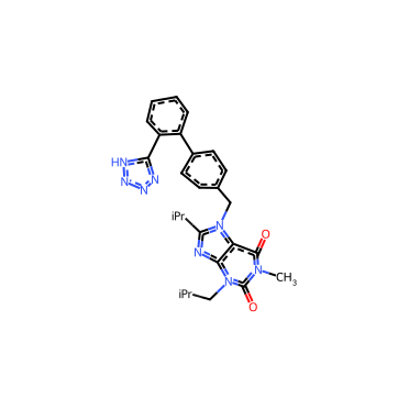 CC(C)Cn1c(=O)n(C)c(=O)c2c1nc(C(C)C)n2Cc1ccc(-c2ccccc2-c2nnn[nH]2)cc1